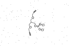 C#CCOCC(COCC#C)COP(OCl)OCl